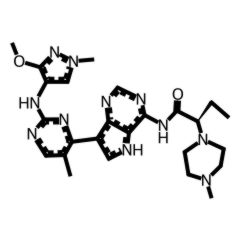 CC[C@H](C(=O)Nc1ncnc2c(-c3nc(Nc4cn(C)nc4OC)ncc3C)c[nH]c12)N1CCN(C)CC1